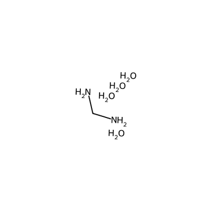 NCN.O.O.O.O